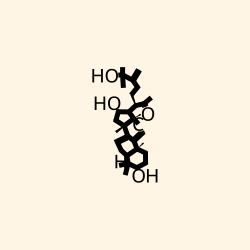 C=C(CC[C@@H](C(C)=O)C1[C@H](O)C[C@@]2(C)C3=CC[C@H]4C(C)(C)[C@@H](O)CC[C@]4(C)C3=CC[C@]12C)C(C)(C)O